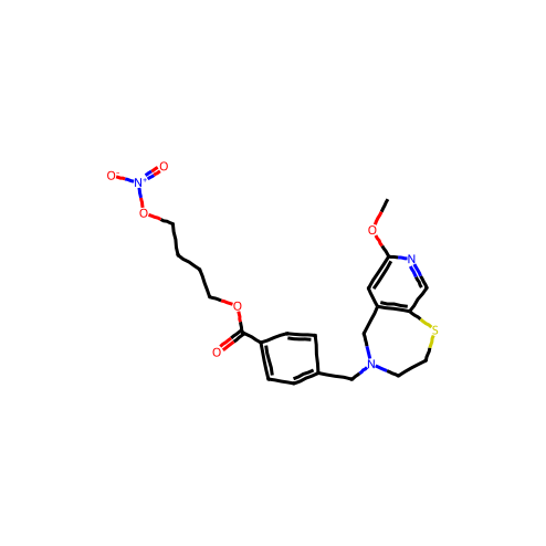 COc1cc2c(cn1)SCCN(Cc1ccc(C(=O)OCCCCO[N+](=O)[O-])cc1)C2